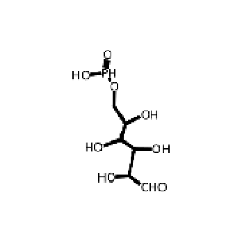 O=CC(O)C(O)C(O)C(O)CO[PH](=O)O